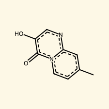 Cc1ccn2c(=O)c(O)cnc2c1